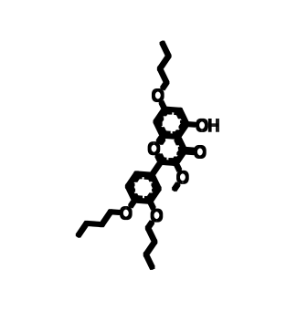 CCCCOc1cc(O)c2c(=O)c(OC)c(-c3ccc(OCCCC)c(OCCCC)c3)oc2c1